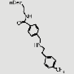 CCCCCCCCCCCCNC(=O)c1ccc(CNCCc2ccc(C(F)(F)F)cc2)cc1